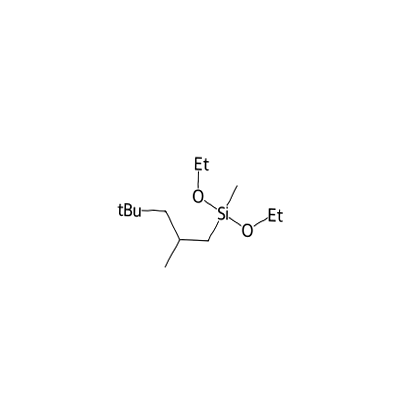 CCO[Si](C)(CC(C)CC(C)(C)C)OCC